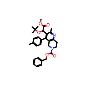 COC(=O)C(OC(C)(C)C)c1c(C)nc2c(c1-c1ccc(C)cc1)CN(C(=O)OCc1ccccc1)CC2